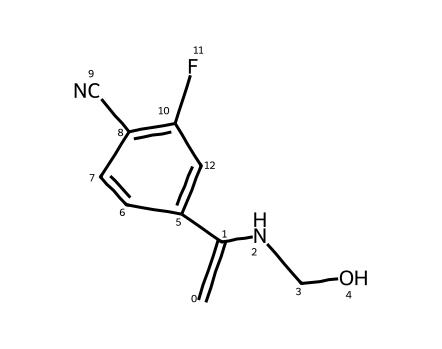 C=C(NCO)c1ccc(C#N)c(F)c1